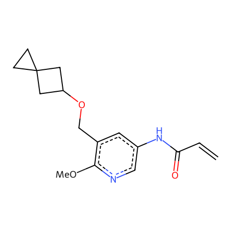 C=CC(=O)Nc1cnc(OC)c(COC2CC3(CC3)C2)c1